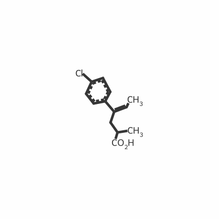 C/C=C(/CC(C)C(=O)O)c1ccc(Cl)cc1